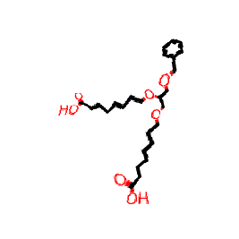 O=C(O)CCCCCCCOCC(COCc1ccccc1)OCCCCCCCC(=O)O